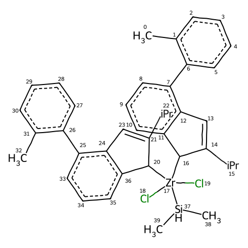 Cc1ccccc1-c1cccc2c1C=C(C(C)C)[CH]2[Zr]([Cl])([Cl])([CH]1C(C(C)C)=Cc2c(-c3ccccc3C)cccc21)[SiH](C)C